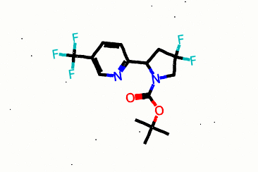 CC(C)(C)OC(=O)N1CC(F)(F)CC1c1ccc(C(F)(F)F)cn1